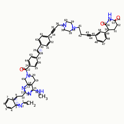 C=C/N=C1/C=CC=C/C1=C/Cc1nc2c(c(NC)n1)CCN(C(=O)c1ccc(/C=C/c3ccc(C#CCN4CCN(CCC#Cc5cccc(C6CCC(=O)NC6=O)c5)CC4)cc3)cc1)C2